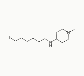 CN1CCC(NCCCCCCI)CC1